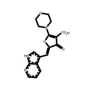 O=C(O)C1=C(N2CCOCC2)OC(=Cc2c[nH]c3ncccc23)C1=O